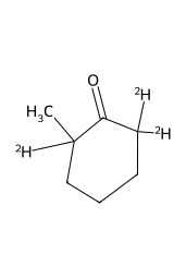 [2H]C1([2H])CCCC([2H])(C)C1=O